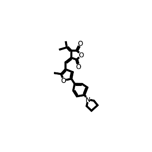 CC(C)=C1C(=O)OC(=O)C1=Cc1cc(-c2ccc(N3CCCC3)cc2)oc1C